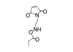 CCC(=O)ONCCN1C(=O)C=CC1=O